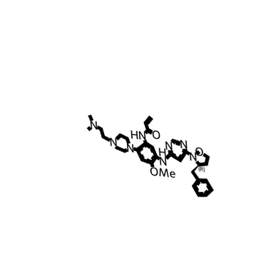 C=CC(=O)Nc1cc(Nc2cc(N3OCC[C@H]3Cc3ccccc3)ncn2)c(OC)cc1N1CCN(CCN(C)C)CC1